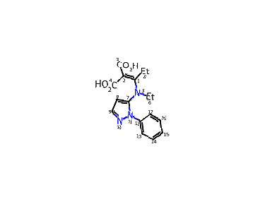 CCC(=C(C(=O)O)C(=O)O)N(CC)c1ccnn1-c1ccccc1